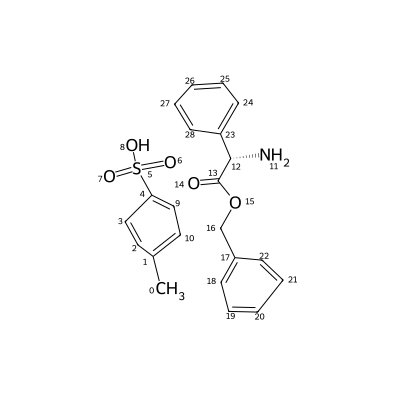 Cc1ccc(S(=O)(=O)O)cc1.N[C@H](C(=O)OCc1ccccc1)c1ccccc1